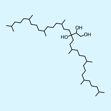 CC(C)CCCC(C)CCCC(C)CCCC(C)CCC(O)(CCC(C)CCCC(C)CCCC(C)CCCC(C)C)C(O)CO